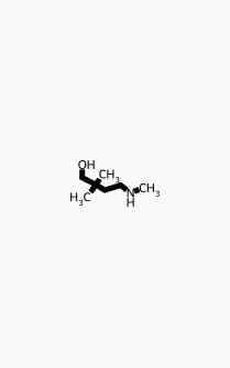 CNCCC(C)(C)CO